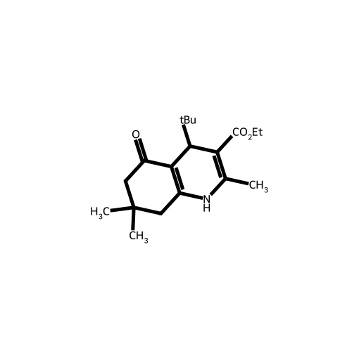 CCOC(=O)C1=C(C)NC2=C(C(=O)CC(C)(C)C2)C1C(C)(C)C